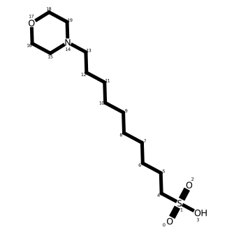 O=S(=O)(O)CCCCCCCCCCN1CCOCC1